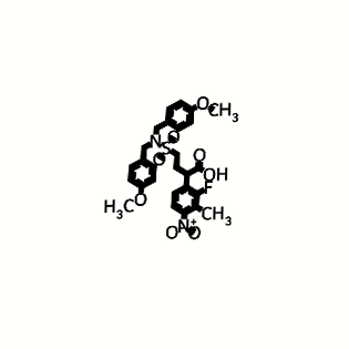 COc1ccc(CN(Cc2ccc(OC)cc2)S(=O)(=O)CCC(C(=O)O)c2ccc([N+](=O)[O-])c(C)c2F)cc1